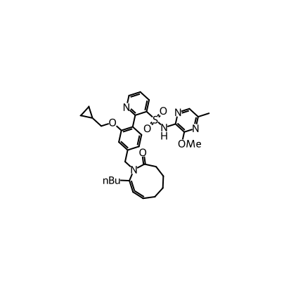 CCCCC1=C=CCCCCC(=O)N1Cc1ccc(-c2ncccc2S(=O)(=O)Nc2ncc(C)nc2OC)c(OCC2CC2)c1